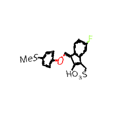 CSc1ccc(OC=C2C(C)=C(CS(=O)(=O)O)c3cc(F)ccc32)cc1